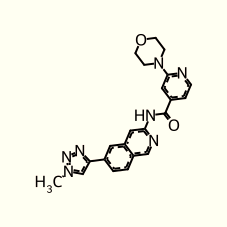 Cn1cc(-c2ccc3cnc(NC(=O)c4ccnc(N5CCOCC5)c4)cc3c2)nn1